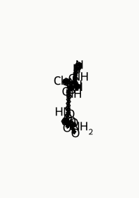 Cc1c(C(=O)NCCCCCCCCNC(=O)COc2cccc3c2C(=O)N(C(CCC=O)C(N)=O)C3=O)sc2c1C(c1ccc(Cl)cc1)=N[C@@H](CC(=O)NCCCN1CCN(C)CC1)c1nnc(C)n1-2